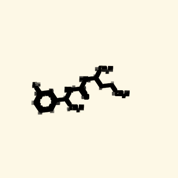 O=C(O)CCC(NC(=O)NC(C(=O)O)c1cccc(F)c1)C(=O)O